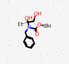 CC[C@](O)(CO)N(Cc1ccccc1)C(=O)OC(C)(C)C